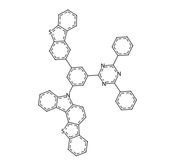 c1ccc(-c2nc(-c3ccccc3)nc(-c3cc(-c4ccc5sc6ccccc6c5c4)cc(-n4c5ccccc5c5c6sc7ccccc7c6ccc54)c3)n2)cc1